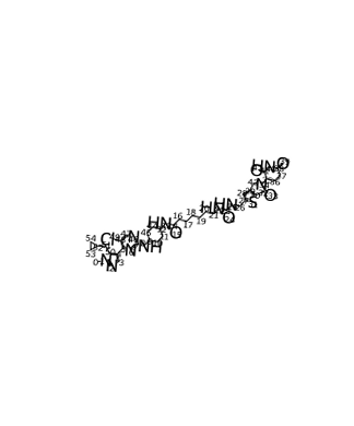 Cn1ncc(-c2nc(NC3CCC(NC(=O)CCCCCCNC(=O)NCc4cc5c(s4)C(=O)N(C4CCC(=O)NC4=O)C5)CC3)ncc2Cl)c1CC1CC1